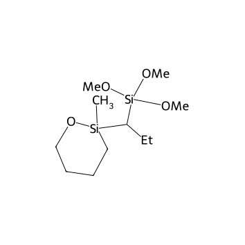 CCC([Si]1(C)CCCCO1)[Si](OC)(OC)OC